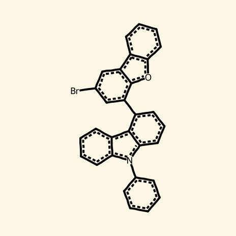 Brc1cc(-c2cccc3c2c2ccccc2n3-c2ccccc2)c2oc3ccccc3c2c1